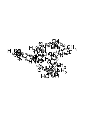 CC[C@@]1(O)C(=O)OCc2c1cc1n(c2=O)Cc2c-1nc1cc(F)c(C)c3c1c2[C@@H](NC(=O)C(C)(C)COCNC(=O)[C@H](C)NC(=O)[C@@H](NC(=O)[C@H](CCC(=O)NC[C@H]1O[C@@H](CC(N)=O)[C@H](O)[C@@H]1O)NC(=O)c1ccc(-c2nsc(S(C)(=O)=O)n2)cc1)C(C)C)CC3